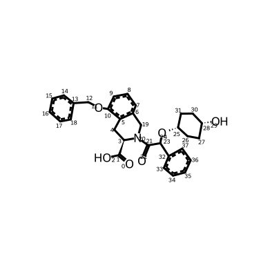 O=C(O)[C@H]1Cc2c(cccc2OCc2ccccc2)CN1C(=O)C(O[C@H]1CC[C@@H](O)CC1)c1ccccc1